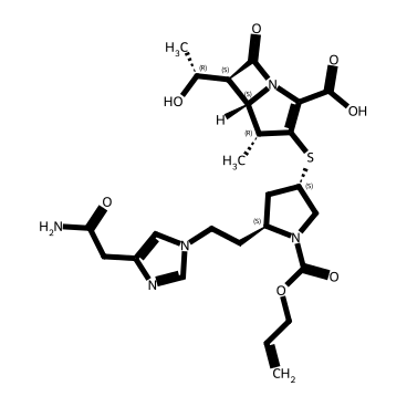 C=CCOC(=O)N1C[C@@H](SC2=C(C(=O)O)N3C(=O)[C@H]([C@@H](C)O)[C@H]3[C@H]2C)C[C@@H]1CCn1cnc(CC(N)=O)c1